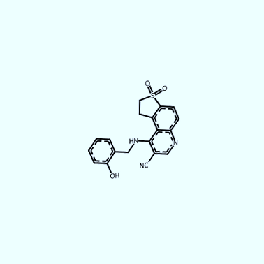 N#Cc1cnc2ccc3c(c2c1NCc1ccccc1O)CCS3(=O)=O